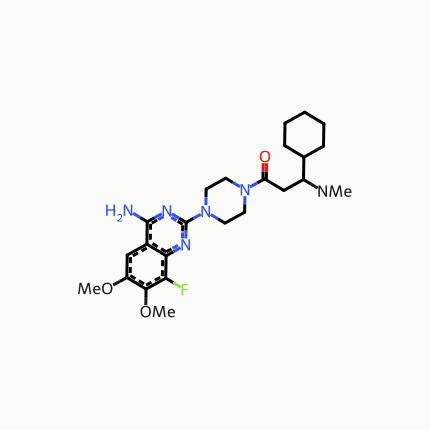 CNC(CC(=O)N1CCN(c2nc(N)c3cc(OC)c(OC)c(F)c3n2)CC1)C1CCCCC1